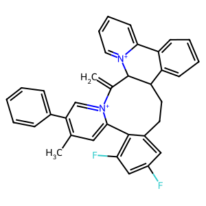 C=C1C2C(CCc3cc(F)cc(F)c3-c3cc(C)c(-c4ccccc4)c[n+]31)c1ccccc1-c1cccc[n+]12